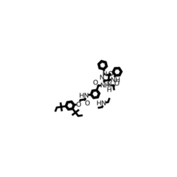 CCC(C)(C)c1ccc(OCC(=O)Nc2cccc(C(=O)NC3=NN(c4ccccc4)C(=O)C3(NC(C)=O)Nc3ccccc3)c2)c(C(C)(C)CC)c1.CCNCC